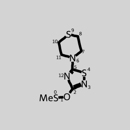 CSOc1nsc(N2CCSCC2)n1